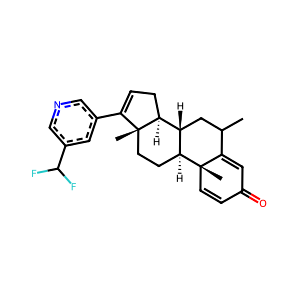 CC1C[C@@H]2[C@H](CC[C@]3(C)C(c4cncc(C(F)F)c4)=CC[C@@H]23)[C@@]2(C)C=CC(=O)C=C12